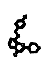 O=c1cc(N2CCOCC2)oc2c(OCc3ccc(Cl)cc3)cccc12